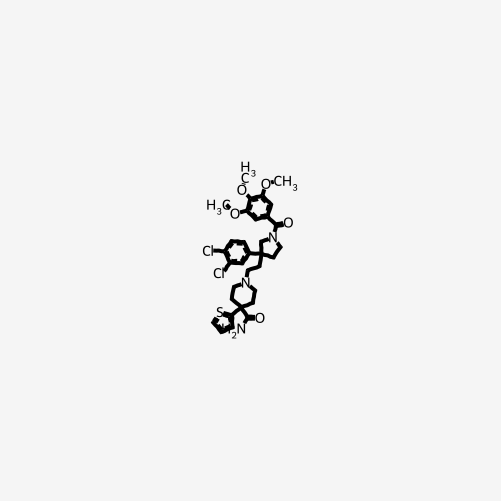 COc1cc(C(=O)N2CCC(CCN3CCC(C(N)=O)(c4cccs4)CC3)(c3ccc(Cl)c(Cl)c3)C2)cc(OC)c1OC